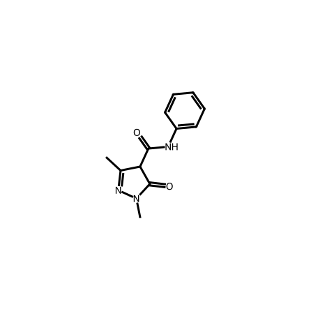 CC1=NN(C)C(=O)C1C(=O)Nc1ccccc1